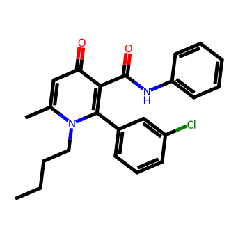 CCCCn1c(C)cc(=O)c(C(=O)Nc2ccccc2)c1-c1cccc(Cl)c1